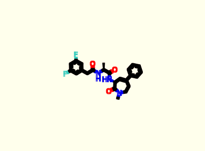 C[C@H](NC(=O)Cc1cc(F)cc(F)c1)C(=O)N[C@H]1C=C(c2ccccc2)CCN(C)C1=O